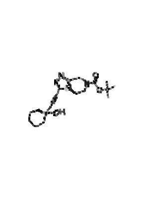 CC(C)(C)OC(=O)N1CCn2c(C#CC3(O)CCCCC3)nnc2C1